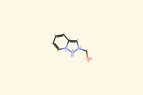 OCN1C=C2C=CC=CN2N1